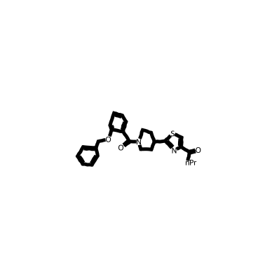 CCCC(=O)c1csc(C2CCN(C(=O)c3ccccc3OCc3ccccc3)CC2)n1